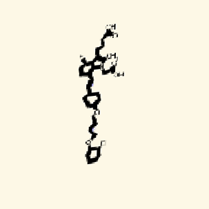 Cc1c(CCCC(=O)O)c2c(F)ccc(/C=C/c3ccc(OC/C=C/COc4ccccc4Cl)cc3)c2n1CC(=O)O